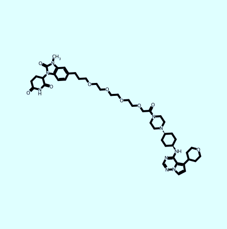 Cn1c(=O)n(C2CCC(=O)NC2=O)c2ccc(CCCOCCOCCOCCOCC(=O)N3CCN([C@H]4CC[C@H](Nc5ncnn6ccc(C7CCOCC7)c56)CC4)CC3)cc21